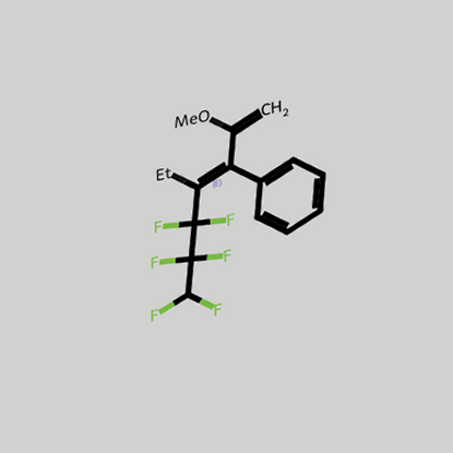 C=C(OC)/C(=C(\CC)C(F)(F)C(F)(F)C(F)F)c1ccccc1